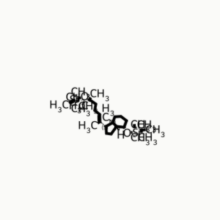 CC(=CCCC(C)(C)O[Si](C)(C)C(C)(C)C)[C@H]1CC[C@H]2C(O[Si](C)(C)C(C)(C)C)CCC[C@]12C